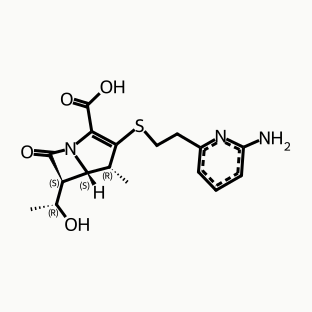 C[C@@H](O)[C@H]1C(=O)N2C(C(=O)O)=C(SCCc3cccc(N)n3)[C@H](C)[C@H]12